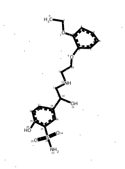 CCOc1ccccc1OCCNCC(O)c1ccc(O)c(S(N)(=O)=O)c1